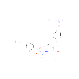 CCNS(=O)(=O)c1ccc(Sc2ccc(NS(=O)(=O)c3ccc(C(F)(F)F)cc3Cl)nc2C(=O)C2CC2)cc1